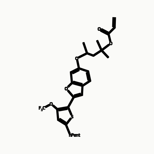 C=CC(=O)OC(C)(C)CC(C)Oc1ccc2cc(-c3sc(CCCCC)cc3OC(F)(F)F)oc2c1